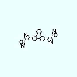 c1ccc2c(c1)c1cc(-c3cncc(-c4cnco4)c3)ccc1c1ccc(-c3cncc(-c4cnco4)c3)cc21